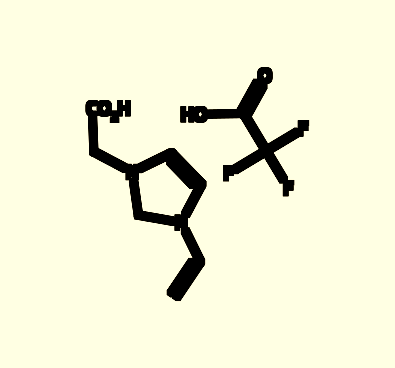 C=CN1C=CN(CC(=O)O)C1.O=C(O)C(F)(F)F